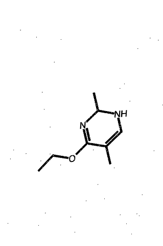 CCOC1=NC(C)NC=C1C